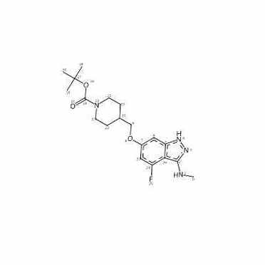 CNc1n[nH]c2cc(OCC3CCN(C(=O)OC(C)(C)C)CC3)cc(F)c12